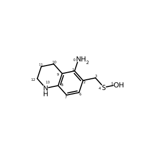 Nc1c(CSO)ccc2c1CCCN2